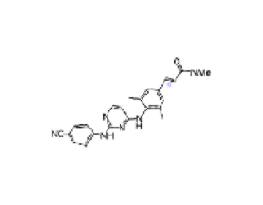 CNC(=O)/C=C/c1cc(C)c(Nc2ccnc(Nc3ccc(C#N)cc3)n2)c(C)c1